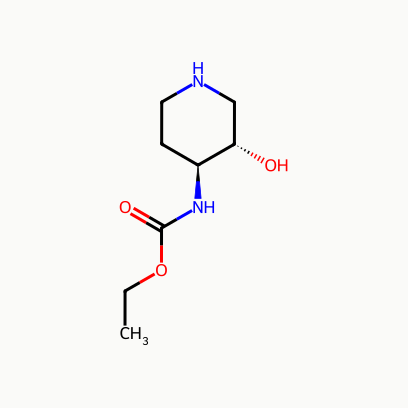 CCOC(=O)N[C@H]1CCNC[C@@H]1O